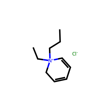 CCC[N+]1(CC)C=CC=CC1.[Cl-]